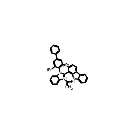 C=C(CC)[n+]1c(-c2c(CCC)ccc3c2sc2ccccc23)n(-c2c(C(C)C)cc(-c3ccccc3)cc2C(C)C)c2ccccc21